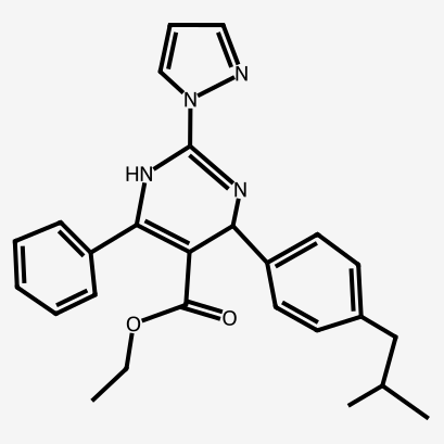 CCOC(=O)C1=C(c2ccccc2)NC(n2cccn2)=NC1c1ccc(CC(C)C)cc1